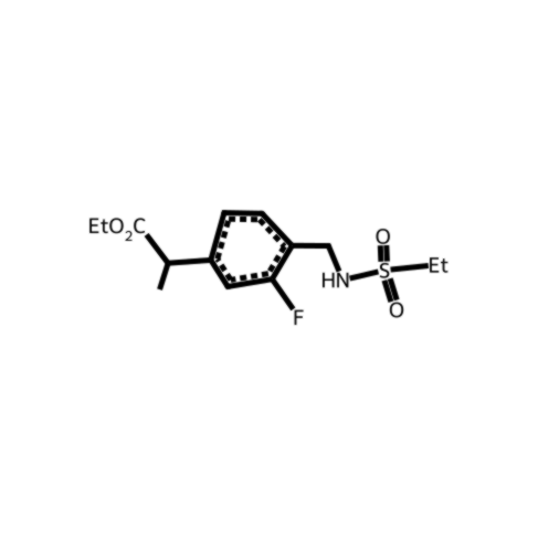 CCOC(=O)C(C)c1ccc(CNS(=O)(=O)CC)c(F)c1